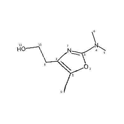 Cc1oc(N(C)C)nc1CCO